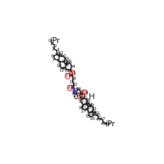 CC(C)CCCCC1CCC2C3CC=C4CC(OC(=O)CCCC(=O)N(CC(=O)O)CC(=O)OC5CCC6(C)C(=CCC7C6CCC6(C)C(CCCCC(C)C)CCC76)C5)CCC4(C)C3CCC12C